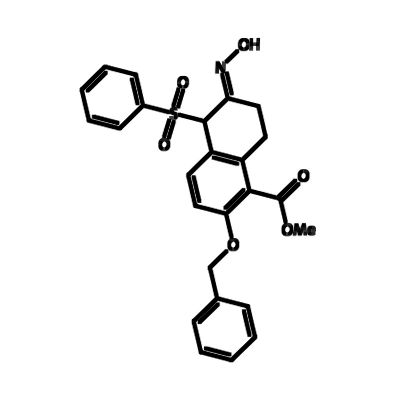 COC(=O)c1c(OCc2ccccc2)ccc2c1CCC(=NO)C2S(=O)(=O)c1ccccc1